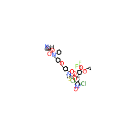 O=C(O[C@@H](Cc1c(Cl)c[n+]([O-])cc1Cl)c1ccc(OC(F)F)c(OCC2CC2)c1)[C@@H]1SCCN1C(=O)c1ccc(COc2ccc(CN(C(=O)O[C@H]3CN4CCC3CC4)c3ccccc3)cc2)cc1